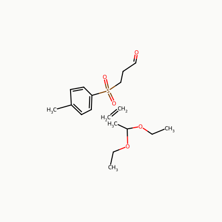 C=C.CCOC(C)OCC.Cc1ccc(S(=O)(=O)CCC=O)cc1